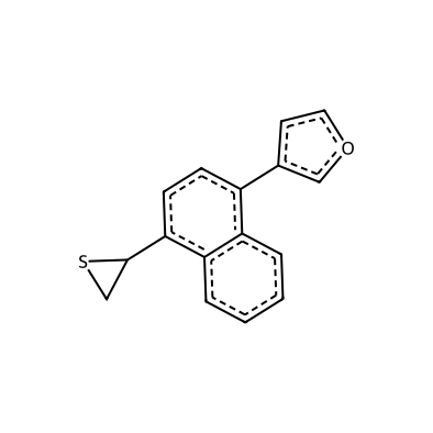 c1ccc2c(C3CS3)ccc(-c3ccoc3)c2c1